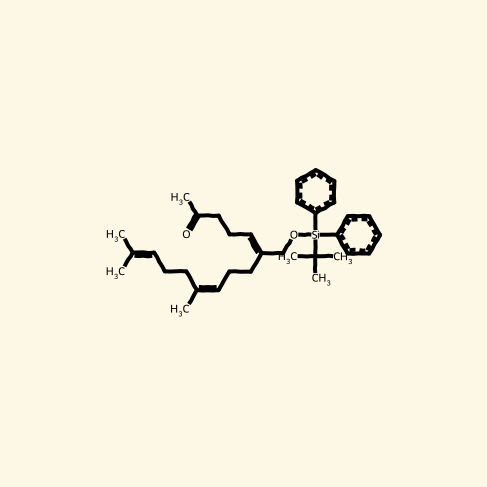 CC(=O)CCC=C(CCC=C(C)CCC=C(C)C)CO[Si](c1ccccc1)(c1ccccc1)C(C)(C)C